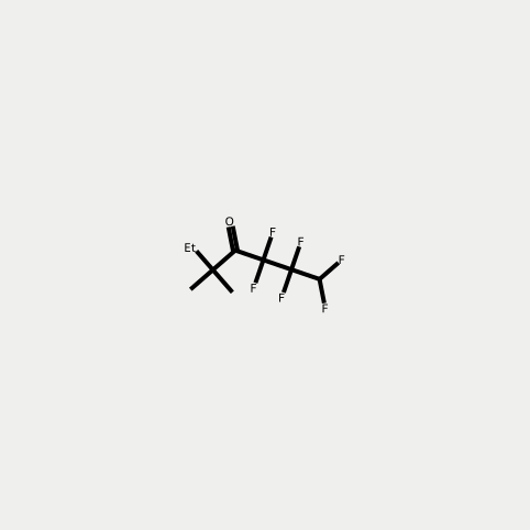 CCC(C)(C)C(=O)C(F)(F)C(F)(F)C(F)F